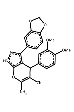 COc1ccc(C2C(C#N)=C(N)Oc3[nH]nc(-c4ccc5c(c4)OCO5)c32)cc1OC